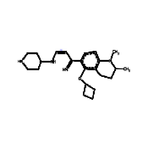 CC1CCc2c(ccc(C(=N)/C=C\NC3CCNCC3)c2OC2CCC2)N1C